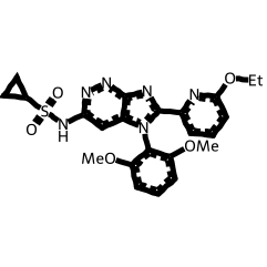 CCOc1cccc(-c2nc3nnc(NS(=O)(=O)C4CC4)cc3n2-c2c(OC)cccc2OC)n1